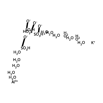 O.O.O.O.O.O.O.O.O.O.O.O.O=S(=O)([O-])O.O=S(=O)([O-])O.O=S(=O)([O-])O.O=S(=O)([O-])O.[Al+3].[K+]